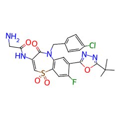 CC(C)(C)c1nnc(-c2cc3c(cc2F)S(=O)(=O)C=C(NC(=O)CN)C(=O)N3Cc2ccc(Cl)cc2)o1